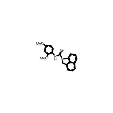 COc1ccc(NC(=N)N2Cc3cccc4cccc2c34)c(OC)c1